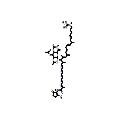 COC(=O)C1OC(OC(/C(C)=C/C(C)CCC/C=C/C(C)C/C=C/CCCN(C)C(=N)N)C(C)/C=C/C=C/C=C/C=C/C=C(\C)C(=O)NC2=C(OC)CCC2=O)C(OC(C)=O)C(OC(C)=O)C1OC(C)=O